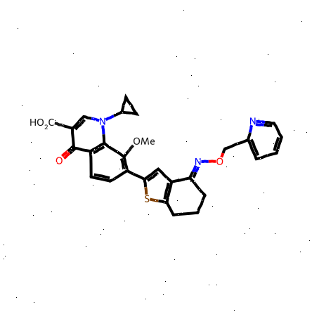 COc1c(-c2cc3c(s2)CCCC3=NOCc2ccccn2)ccc2c(=O)c(C(=O)O)cn(C3CC3)c12